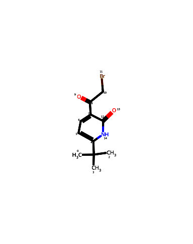 CC(C)(C)c1ccc(C(=O)CBr)c(=O)[nH]1